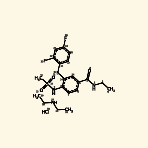 CCNC(=O)c1ccc(NS(C)(=O)=O)c(Sc2ccc(F)cc2F)c1.CCNCC.Cl